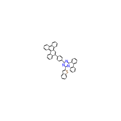 c1ccc(-c2ccccc2-c2nc(-c3ccc(-c4cc5c6ccccc6c6ccccc6c5c5ccccc45)cc3)nc(-c3cc4ccccc4s3)n2)cc1